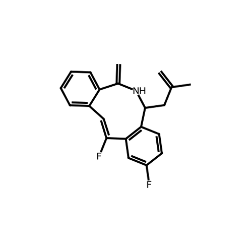 C=C(C)CC1NC(=C)c2ccccc2/C=C(\F)c2cc(F)ccc21